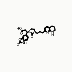 O=C(O)CC(c1ccc2[nH]c(=O)oc2c1)N1CCN(CCCc2ccc3c(n2)NCCC3)C1=O